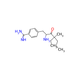 CCCC(C)(CC)C(=O)C(N)Cc1ccc(C(=N)N)cc1